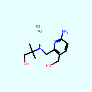 CC(C)(CO)NCc1nc(N)ccc1CO.Cl.Cl